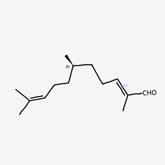 CC(C)=CCC[C@@H](C)CC/C=C(\C)C=O